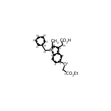 CCOC(=O)COc1ccc2c(c1)c(CC(=O)O)c(C)n2Cc1ccccc1